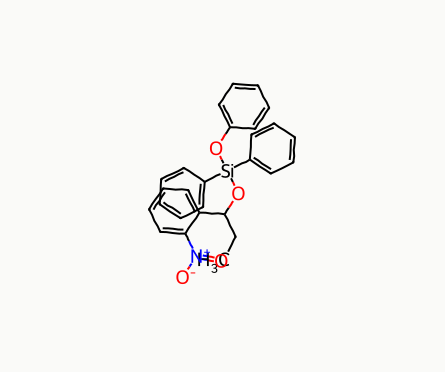 CCC(O[Si](Oc1ccccc1)(c1ccccc1)c1ccccc1)c1ccccc1[N+](=O)[O-]